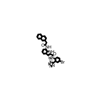 O=C(Cc1ccc2ccccc2c1)Nc1cccc2cc(C(=O)Nc3ccc(Br)cc3-c3nnn[nH]3)[nH]c12